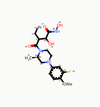 COc1ccc(N2CCN(C(=O)C(CC(C)C)C(O)C(=O)NO)[C@H](C)C2)cc1F